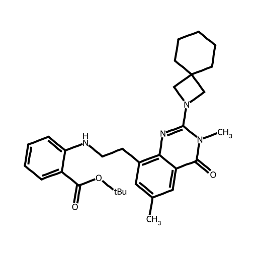 Cc1cc(CCNc2ccccc2C(=O)OC(C)(C)C)c2nc(N3CC4(CCCCC4)C3)n(C)c(=O)c2c1